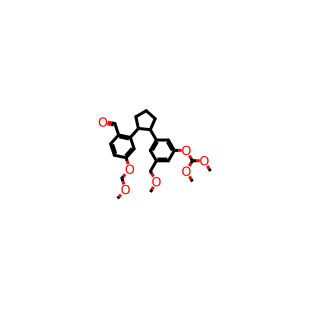 COCOc1ccc(C=O)c(C2CCCC2c2cc(COC)cc(OC(OC)OC)c2)c1